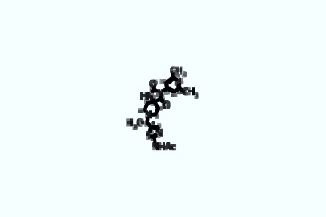 CC(=O)Nc1ncc([C@H](C)N2CCC3(CC2)NC(=O)N(c2cc(C)nc(C)c2)C3=O)s1